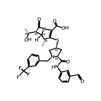 C[C@@H](O)[C@H]1C(=O)N2C(C(=O)O)=C(S[C@H]3C[C@@H](C(=O)Nc4cccc(C=O)c4)N(Cc4cccc(C(F)(F)F)c4)C3)[C@H](C)[C@H]12